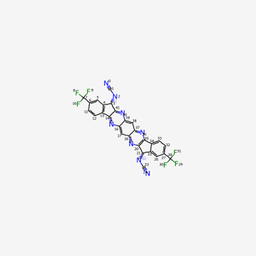 N#C/N=c1\c2cc(C(F)(F)F)ccc2c2nc3cc4nc5/c(=N/C#N)c6cc(C(F)(F)F)ccc6c5nc4cc3nc12